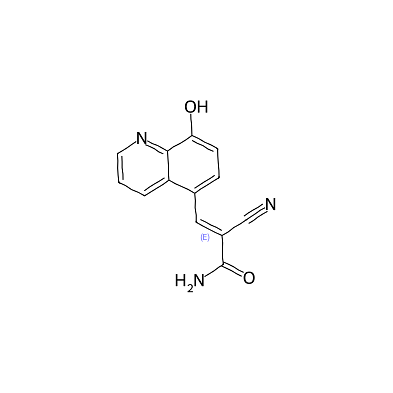 N#C/C(=C\c1ccc(O)c2ncccc12)C(N)=O